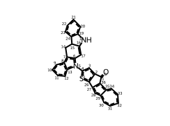 O=C1c2cc(-n3c4c(c5ccccc53)CC3C(=C4)Nc4ccccc43)sc2-c2cc3cccccc-3c21